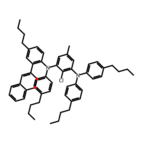 CCCCc1ccc(N(c2ccc(CCCC)cc2)c2cc(C)cc(N(c3ccc(CCCC)cc3)c3ccc(CCCC)cc3-c3ccc4ccccc4c3)c2Cl)cc1